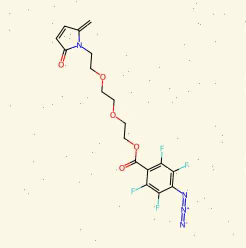 C=C1C=CC(=O)N1CCOCCOCCOC(=O)c1c(F)c(F)c(N=[N+]=[N-])c(F)c1F